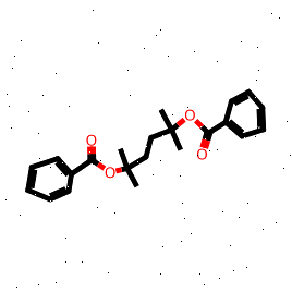 CC(C)(CCC(C)(C)OC(=O)c1ccccc1)OC(=O)c1ccccc1